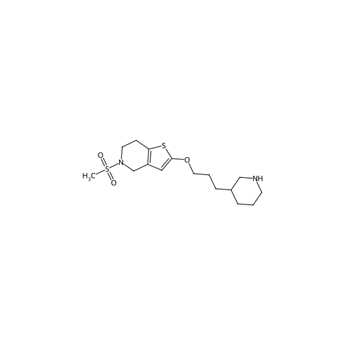 CS(=O)(=O)N1CCc2sc(OCCCC3CCCNC3)cc2C1